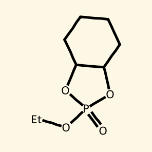 CCOP1(=O)OC2CCCCC2O1